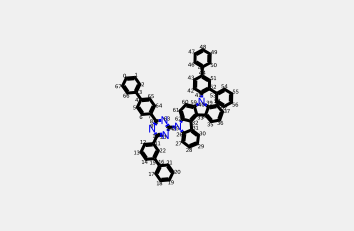 c1ccc(-c2ccc(-c3nc(-c4cccc(-c5ccccc5)c4)nc(-n4c5ccccc5c5c6c7ccccc7n(-c7ccc(-c8ccccc8)cc7-c7ccccc7)c6ccc54)n3)cc2)cc1